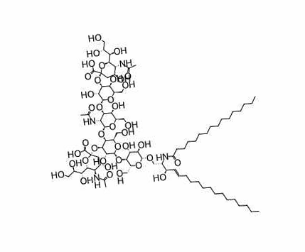 CCCCCCCCCCCCC/C=C/[C@@H](O)[C@H](CO[C@@H]1O[C@H](CO)[C@@H](O[C@@H]2O[C@H](CO)[C@H](O[C@@H]3O[C@H](CO)[C@H](O)[C@H](O[C@@H]4O[C@H](CO)[C@H](O)[C@H](O[C@]5(C(=O)O)C[C@H](O)[C@@H](NC(C)=O)[C@H]([C@H](O)[C@H](O)CO)O5)[C@H]4O)[C@H]3NC(C)=O)[C@H](O[C@]3(C(=O)O)C[C@H](O)[C@@H](NC(C)=O)[C@H]([C@H](O)[C@H](O)CO)O3)[C@H]2O)[C@H](O)[C@H]1O)NC(=O)CCCCCCCCCCCCCCC